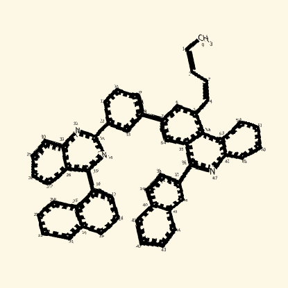 C/C=C\C=C/c1cc(-c2cccc(-c3nc(-c4cccc5ccccc45)c4ccccc4n3)c2)cc2c(-c3ccc4ccccc4c3)nc3ccccc3c12